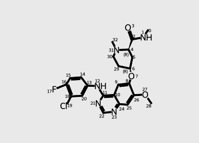 CNC(=O)[C@H]1C[C@H](Oc2cc3c(Nc4ccc(F)c(Cl)c4)ncnc3cc2OC)CCN1C